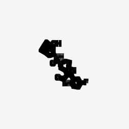 NC(=O)c1c(-c2cccc(F)c2)nn2c1CN(C(=O)NC13CC4CC5CC(O)(C1)C45C3)CC2